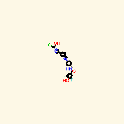 O=C(NC[C@H]1CC[C@H](n2cc3ccc(-c4cnn(C(CO)CCl)c4)cc3n2)CC1)c1cc(F)c(O)c(F)c1